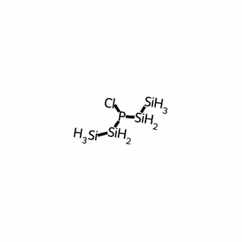 [SiH3][SiH2]P(Cl)[SiH2][SiH3]